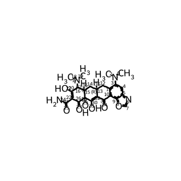 CN(C)c1cc2ncoc2c2c1C[C@H]1C[C@H]3[C@H](N(C)C)C(O)=C(C(N)=O)C(=O)[C@@]3(O)C(O)=C1C2=O